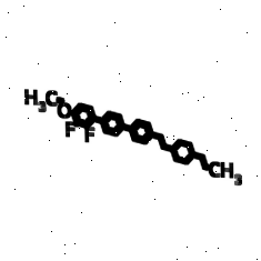 CCCC1CCC(CCc2ccc(-c3ccc(-c4ccc(OCC)c(F)c4F)cc3)cc2)CC1